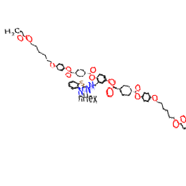 C=CC(=O)OCCCCCCOc1ccc(OC(=O)[C@H]2CC[C@H](C(=O)Oc3ccc(OC(=O)[C@H]4CC[C@H](C(=O)Oc5ccc(OCCCCCCOC(=O)C=C)cc5)CC4)c(/C=N/N=c4\sc5ccccc5n4CCCCCC)c3)CC2)cc1